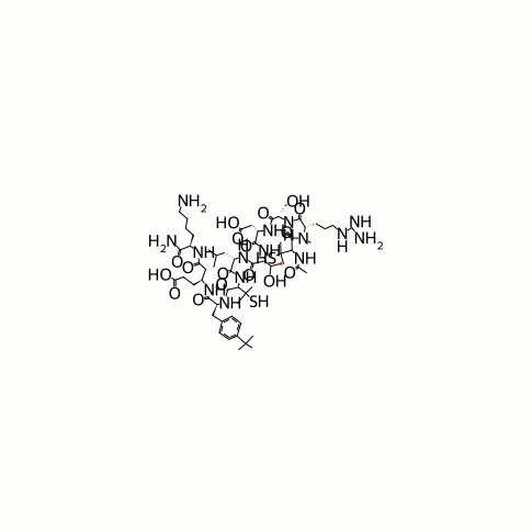 CC(=O)N[C@H](C(=O)N(C)[C@@H](CCCNC(=N)N)C(=O)N[C@@H](CO)C(=O)N[C@@H](CC(=O)O)C(=O)N[C@H](C(=O)N[C@@H](CC(C)C)C(=O)N[C@H](C(=O)N[C@@H](Cc1ccc(C(C)(C)C)cc1)C(=O)N[C@@H](CCC(=O)O)CC(=O)N[C@H](CCCCN)C(N)=O)C(C)(C)S)C(C)O)C(C)(C)S